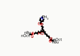 CCCCCCCCC(CCCC)C(=O)OCCCCCCC(O)(CCCCCCOC(=O)C(CCCC)CCCCCCCC)CCCCOC(=O)C1CCN(C)CC1